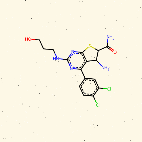 NC(=O)C1Sc2nc(NCCCO)nc(-c3ccc(Cl)c(Cl)c3)c2C1N